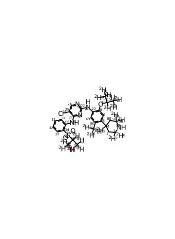 [2H]C1([2H])CC([2H])(c2cc(OC([2H])(C([2H])([2H])[2H])C([2H])([2H])[2H])c(Nc3ncc(Cl)c(Nc4ccccc4S(=O)(=O)C([2H])(C([2H])([2H])[2H])C([2H])([2H])[2H])n3)cc2C([2H])([2H])[2H])CC([2H])([2H])N1